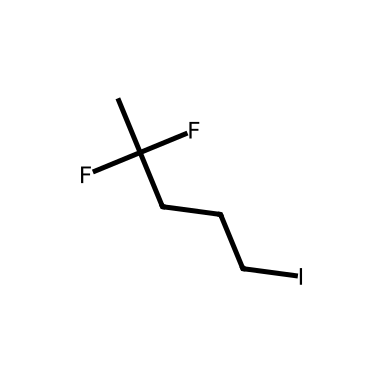 CC(F)(F)CCCI